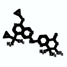 C[C@@H]1OC(=O)c2ccc(Nc3cc4c([C@](C)(N)C5CC5)cnc(OC5CC5)c4cn3)nc2C1(C)C